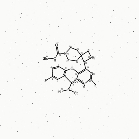 CCN(C(=O)c1cc(F)ccc1Oc1cnc(C)nc1C1NCC12CCN(C(=O)OC(C)(C)C)CC2)C(C)C